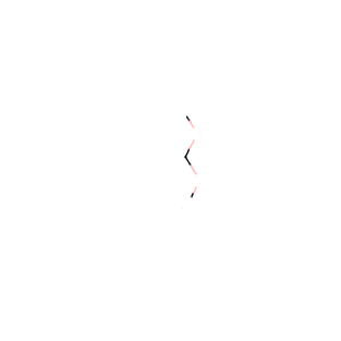 CBCBC=O